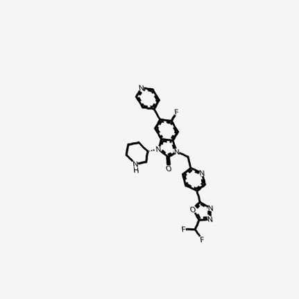 O=c1n(Cc2ccc(-c3nnc(C(F)F)o3)cn2)c2cc(F)c(-c3ccncc3)cc2n1[C@H]1CCCNC1